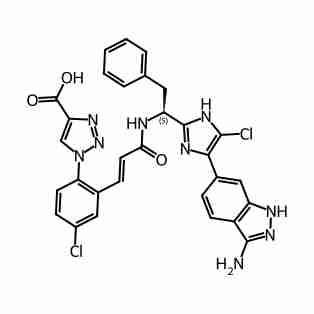 Nc1n[nH]c2cc(-c3nc([C@H](Cc4ccccc4)NC(=O)C=Cc4cc(Cl)ccc4-n4cc(C(=O)O)nn4)[nH]c3Cl)ccc12